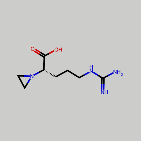 N=C(N)NCCC[C@@H](C(=O)O)N1CC1